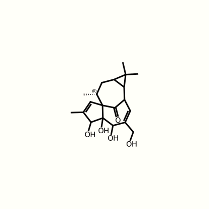 CC1=CC23C(=O)C(C=C(CO)C(O)C2(O)C1O)C1C(C[C@H]3C)C1(C)C